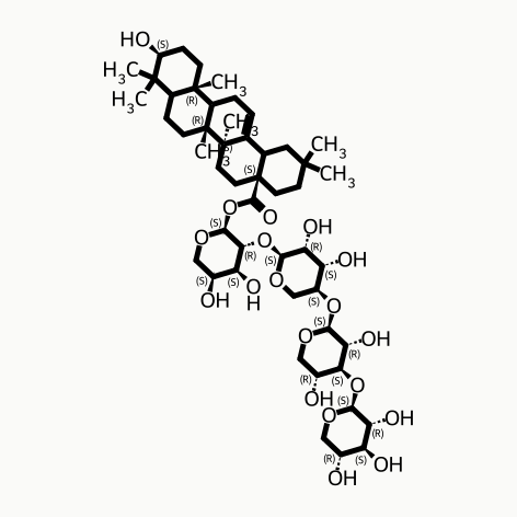 CC1(C)CC[C@]2(C(=O)O[C@@H]3OC[C@H](O)[C@H](O)[C@H]3O[C@@H]3OC[C@H](O[C@@H]4OC[C@@H](O)[C@H](O[C@@H]5OC[C@@H](O)[C@H](O)[C@H]5O)[C@H]4O)[C@@H](O)[C@H]3O)CC[C@]3(C)C(=CCC4[C@@]5(C)CC[C@H](O)C(C)(C)C5CC[C@]43C)C2C1